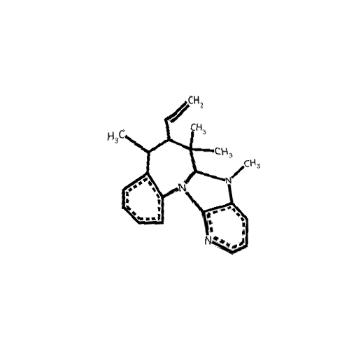 C=CC1C(C)c2ccccc2N2c3ncccc3N(C)C2C1(C)C